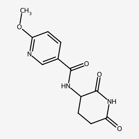 COc1ccc(C(=O)NC2CCC(=O)NC2=O)cn1